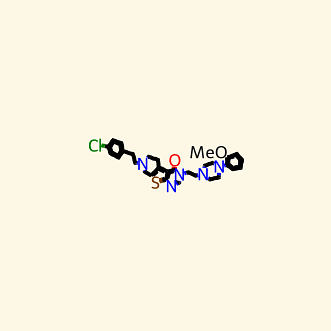 COc1ccccc1N1CCN(CCn2cnc3sc4c(c3c2=O)CCN(CCc2ccc(Cl)cc2)C4)CC1